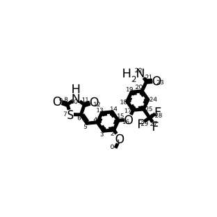 COc1cc(C=C2SC(=O)NC2=O)ccc1Oc1ccc(C(N)=O)cc1C(F)(F)F